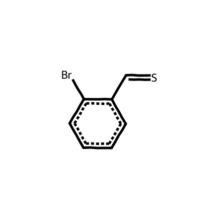 S=Cc1ccccc1Br